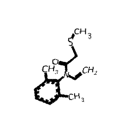 C=CN(C(=O)CSC)c1c(C)cccc1C